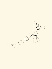 CCOC(=O)CCN1CCN(c2ccc(-c3nc4nc(-c5cc(C6CC6)nc(C(F)(F)F)c5)cc(N(C)CC5(COC)CCCC5)c4[nH]3)cc2)CC1